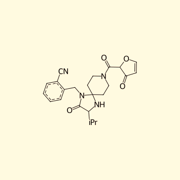 CC(C)C1NC2(CCN(C(=O)C3OC=CC3=O)CC2)N(Cc2ccccc2C#N)C1=O